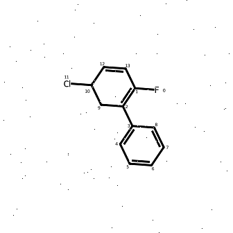 FC1=C(c2ccccc2)C[C](Cl)C=C1